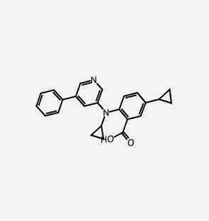 O=C(O)c1cc(C2CC2)ccc1N(c1cncc(-c2ccccc2)c1)C1CC1